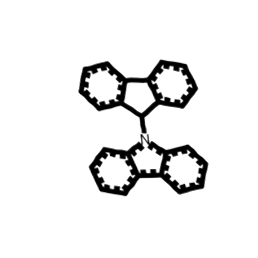 c1ccc2c(c1)-c1ccccc1C2n1c2ccccc2c2ccccc21